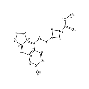 CC(C)(C)OC(=O)N1CC(COc2c3c(cc4occc24)OC(O)C=C3)C1